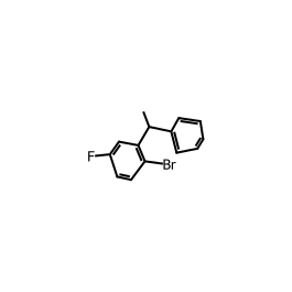 CC(c1ccccc1)c1cc(F)ccc1Br